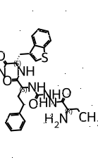 CC[C@@H](N)C(=O)NNC(=O)N[C@@H](CCc1ccccc1)C(=O)N[C@@H](Cc1csc2ccccc12)C(N)=O